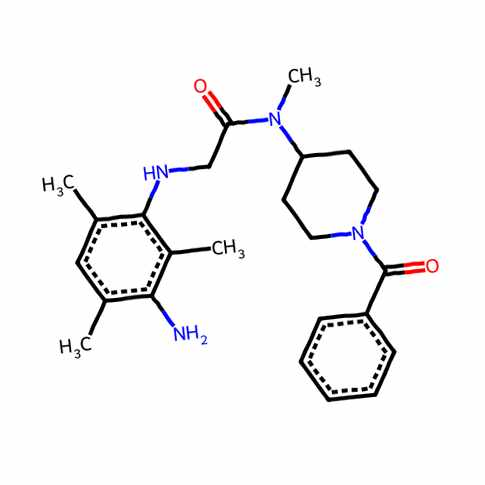 Cc1cc(C)c(NCC(=O)N(C)C2CCN(C(=O)c3ccccc3)CC2)c(C)c1N